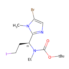 CCN(C(=O)OC(C)(C)C)[C@@H](CCI)c1ncc(Br)n1C